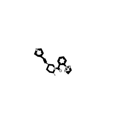 C[C@@H]1CC[C@@H](C#Cc2ccncc2)CN1C(=O)c1ccccc1-n1nccn1